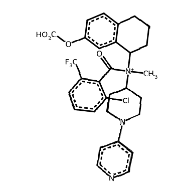 C[N+](C(=O)c1c(Cl)cccc1C(F)(F)F)(C1CCN(c2ccncc2)CC1)C1CCCc2ccc(OC(=O)O)cc21